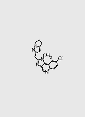 Cn1c(Cc2cc3n(n2)CCC3)nc2cnc3ccc(Cl)cc3c21